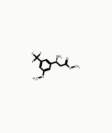 COC(=O)C[C@H](N)c1cc(OC)cc(C(F)(F)F)c1